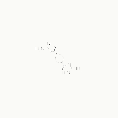 C=C(N=C(N)N)C1CCC(C(=C)N=C(N)N)CC1